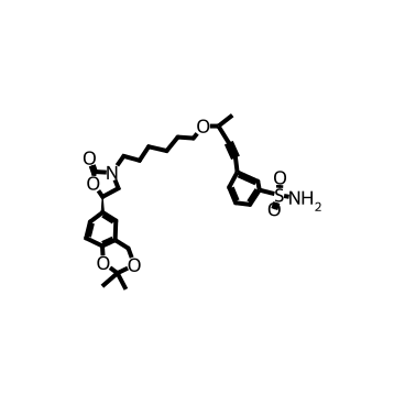 CC(C#Cc1cccc(S(N)(=O)=O)c1)OCCCCCCN1C[C@@H](c2ccc3c(c2)COC(C)(C)O3)OC1=O